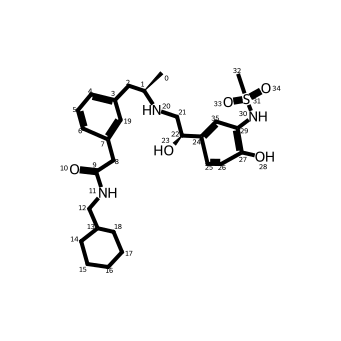 C[C@H](Cc1cccc(CC(=O)NCC2CCCCC2)c1)NC[C@H](O)c1ccc(O)c(NS(C)(=O)=O)c1